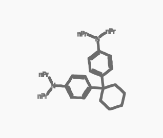 CCCN(CCC)c1ccc(C2(c3ccc(N(CCC)CCC)cc3)CCCCC2)cc1